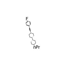 CCC[C@H]1CC[C@H]([C@H]2CC[C@H](C#Cc3ccc(F)cc3)CC2)CC1